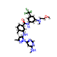 CNc1cc(-n2nc(C)cc2Nc2cc(C(=O)Nc3cc(N(C)CCOC)cc(C(F)(F)F)c3)ccc2C)ncn1